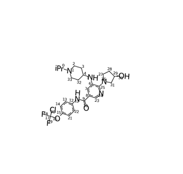 CC(C)N1CCC(Nc2cc(C(=O)Nc3ccc(OC(F)(F)Cl)cc3)cnc2N2CC[C@@H](O)C2)CC1